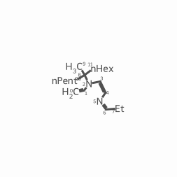 C=CN(/C=C\N=C/CC)C(C)(CCCCC)CCCCCC